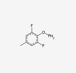 Cc1cc(F)c(OP)c(F)c1